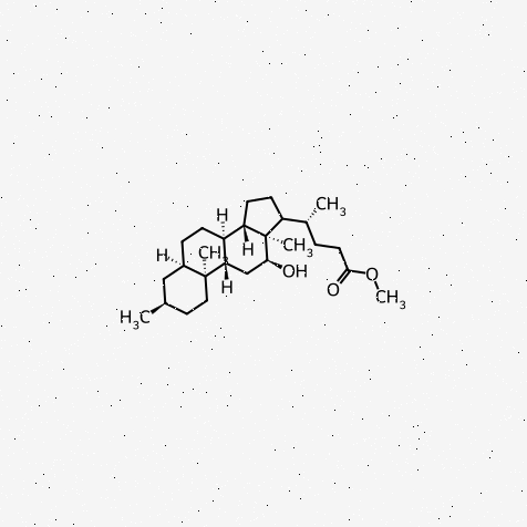 COC(=O)CC[C@@H](C)C1CC[C@H]2[C@@H]3CC[C@@H]4C[C@H](C)CC[C@]4(C)[C@H]3C[C@H](O)[C@]12C